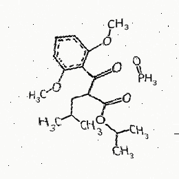 COc1cccc(OC)c1C(=O)C(CC(C)C)C(=O)OC(C)C.O=[PH3]